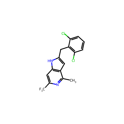 Cc1nc(C(F)(F)F)cc2[nH]c(Cc3c(Cl)[c]ccc3Cl)cc12